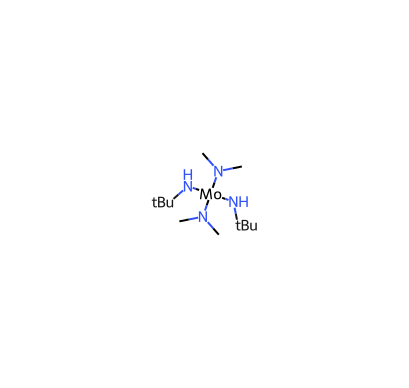 C[N](C)[Mo]([NH]C(C)(C)C)([NH]C(C)(C)C)[N](C)C